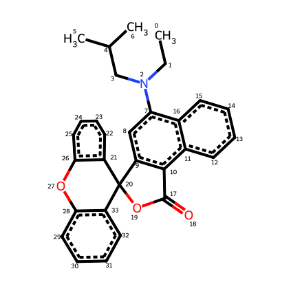 CCN(CC(C)C)c1cc2c(c3ccccc13)C(=O)OC21c2ccccc2Oc2ccccc21